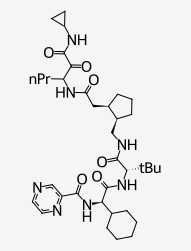 CCCC(NC(=O)C[C@H]1CCC[C@H]1CNC(=O)[C@@H](NC(=O)[C@H](NC(=O)c1cnccn1)C1CCCCC1)C(C)(C)C)C(=O)C(=O)NC1CC1